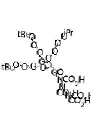 CC(C)OCCOCCOCCOc1cc(COC(=O)CN(CCN(CCN(CC(=O)O)CC(=O)O)CC(=O)O)CC(=O)O)cc(OCCOCCOCCOC(C)(C)C)c1OCCOCCOCCOC(C)(C)C